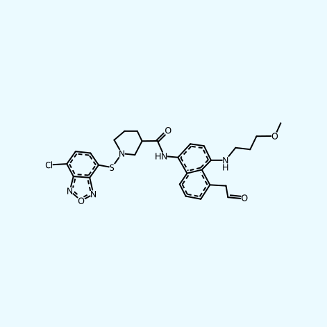 COCCCNc1ccc(NC(=O)C2CCCN(Sc3ccc(Cl)c4nonc34)C2)c2cccc(CC=O)c12